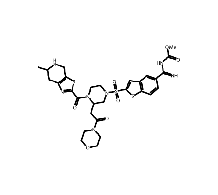 COC(=O)NC(=N)c1ccc2sc(S(=O)(=O)N3CCN(C(=O)c4nc5c(s4)CNC(C)C5)C(CC(=O)N4CCOCC4)C3)cc2c1